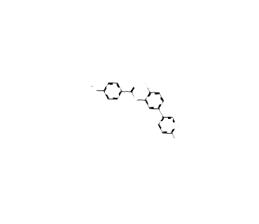 COc1ccc(C(=O)Nc2cc(-c3ccc(F)nc3)ccc2N)cc1